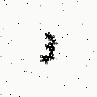 C[C@@H](NC(=O)c1ccc(C=CC(c2cc(Cl)c(Cl)c(Cl)c2)C(F)(F)F)cc1C(F)(F)F)NC(=O)C(C)(C)C(F)(F)F